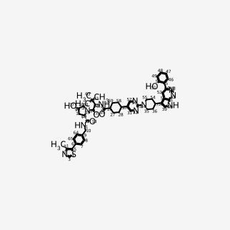 Cc1ncsc1-c1ccc(CNC(=O)[C@@H]2C[C@@H](O)CN2C(=O)[C@@H](NC(=O)C2CCC(c3cnc(N4CCC(c5c[nH]c6nnc(-c7ccccc7O)cc56)CC4)nc3)CC2)C(C)(C)C)cc1